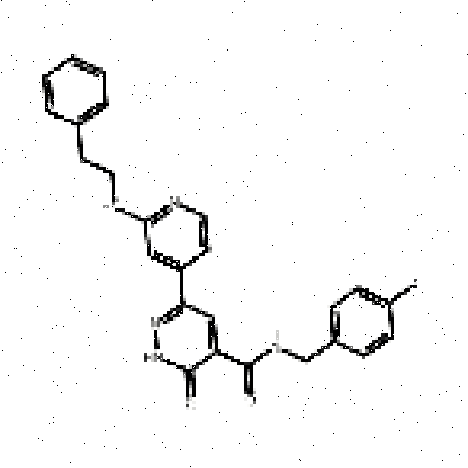 O=C(NCc1ccc(Cl)cc1)c1cc(-c2ccnc(NCCc3ccccc3)c2)n[nH]c1=O